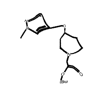 Cn1cc(O[C@H]2CCN(C(=O)OC(C)(C)C)C2)cn1